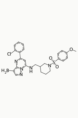 Bc1cnn2c(NCC3CCCN(S(=O)(=O)c4ccc(OC)cc4)C3)cc(-c3ccccc3Cl)nc12